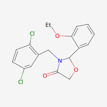 CCOc1ccccc1C1OCC(=O)N1Cc1cc(Cl)ccc1Cl